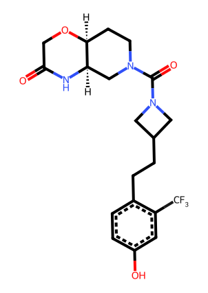 O=C1CO[C@H]2CCN(C(=O)N3CC(CCc4ccc(O)cc4C(F)(F)F)C3)C[C@H]2N1